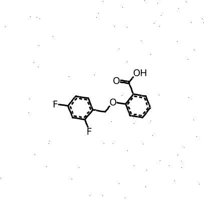 O=C(O)c1ccccc1OCc1ccc(F)cc1F